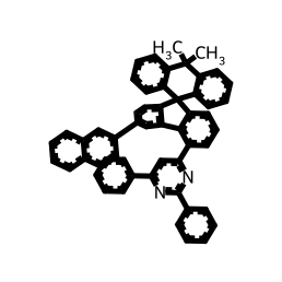 CC1(C)c2ccccc2C2(c3ccc(-c4ccc5ccccc5c4)cc3-c3c(-c4cc(-c5ccccc5)nc(-c5ccccc5)n4)cccc32)c2ccccc21